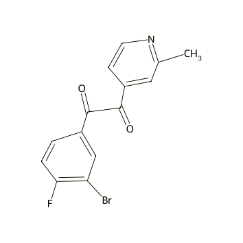 Cc1cc(C(=O)C(=O)c2ccc(F)c(Br)c2)ccn1